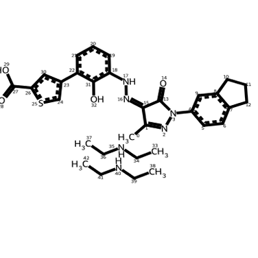 CC1=NN(c2ccc3c(c2)CCC3)C(=O)C1=NNc1cccc(-c2csc(C(=O)O)c2)c1O.CCNCC.CCNCC